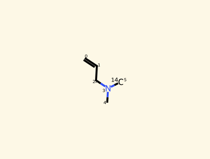 C=C[CH]N(C)[14CH3]